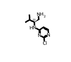 CC(C)[C@@H](CN)Nc1ccnc(Cl)n1